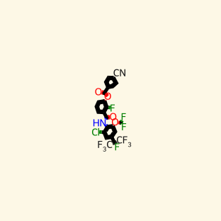 N#Cc1ccc(C(=O)Oc2cccc(C(=O)Nc3c(Cl)cc(C(F)(C(F)(F)F)C(F)(F)F)cc3OC(F)F)c2F)cc1